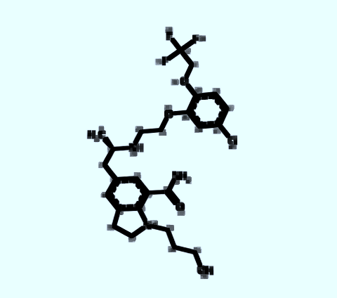 C[C@H](Cc1cc2c(c(C(N)=O)c1)N(CCCO)CC2)NCCOc1cc(Cl)ccc1OCC(F)(F)F